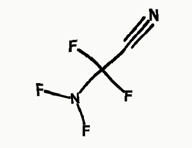 N#CC(F)(F)N(F)F